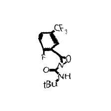 CC(C)(C)NC(=O)N1OC1c1cc(C(F)(F)F)ccc1F